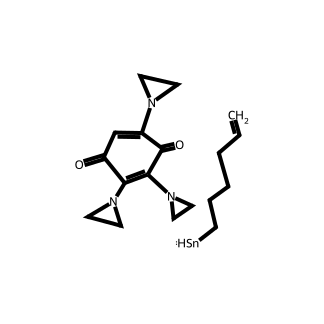 C=CCCC[CH2][SnH].O=C1C=C(N2CC2)C(=O)C(N2CC2)=C1N1CC1